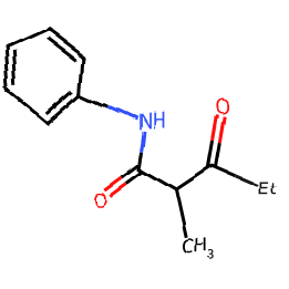 CCC(=O)C(C)C(=O)Nc1ccccc1